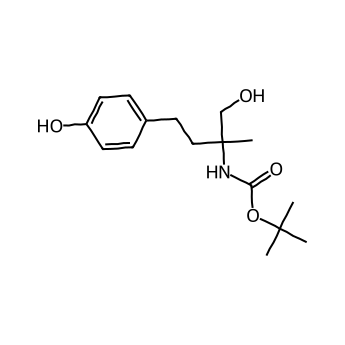 CC(CO)(CCc1ccc(O)cc1)NC(=O)OC(C)(C)C